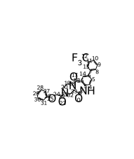 O=C1Nc2ccc(-c3cccc(C(F)(F)F)c3)cc2C(=O)N2CCN(C(=O)COc3ccccc3)CC12